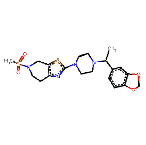 CC(c1ccc2c(c1)OCO2)N1CCN(c2nc3c(s2)CN(S(C)(=O)=O)CC3)CC1